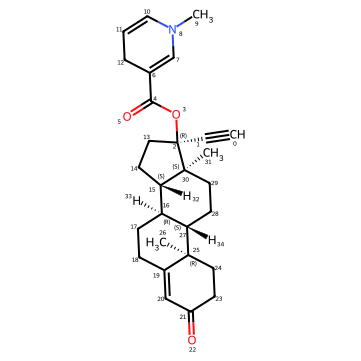 C#C[C@@]1(OC(=O)C2=CN(C)C=CC2)CC[C@H]2[C@@H]3CCC4=CC(=O)CC[C@]4(C)[C@H]3CC[C@@]21C